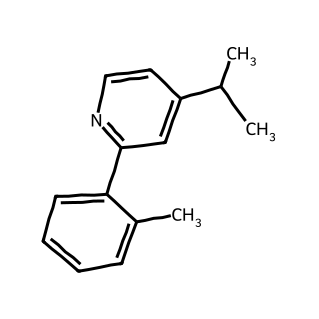 Cc1ccccc1-c1cc(C(C)C)ccn1